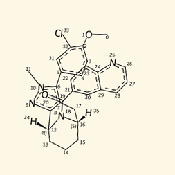 COc1ccc(-c2c3c(nn2C)[C@H]2CCC[C@@H](C3)N2C(=O)c2ccc3ncccc3c2)cc1Cl